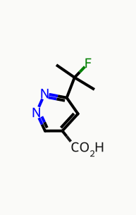 CC(C)(F)c1cc(C(=O)O)cnn1